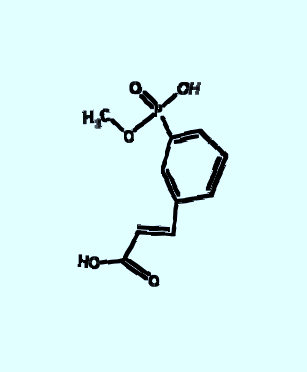 COP(=O)(O)c1cccc(C=CC(=O)O)c1